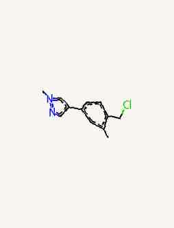 Cc1cc(-c2cnn(C)c2)ccc1CCl